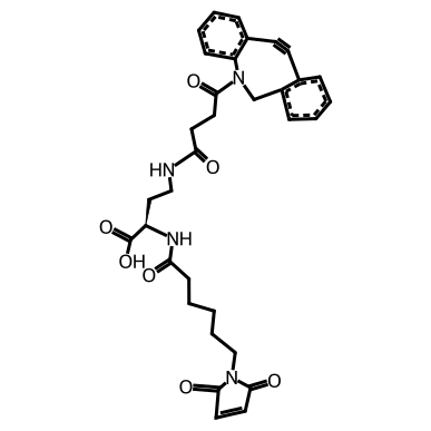 O=C(CCC(=O)N1Cc2ccccc2C#Cc2ccccc21)NCC[C@@H](NC(=O)CCCCCN1C(=O)C=CC1=O)C(=O)O